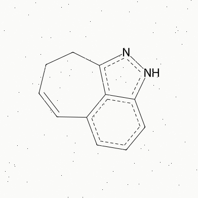 C1=Cc2cccc3[nH]nc(c23)CC1